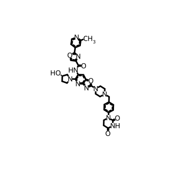 Cc1cc(-c2nc(C(=O)Nc3cc4oc(N5CCN(Cc6ccc(N7CCC(=O)NC7=O)cc6)CC5)nc4nc3N3CC[C@@H](O)C3)co2)ccn1